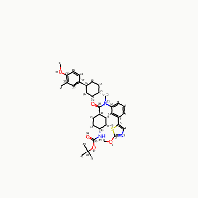 COc1ncc(-c2cccc(N(C[C@H]3CC[C@H](c4ccc(OC)c(C)c4)CC3)C(=O)[C@H]3CC[C@H](NC(=O)OC(C)(C)C)CC3)c2)s1